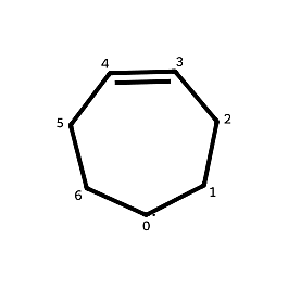 [CH]1CCC=CCC1